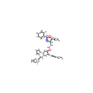 CC#Cc1cc(CC(C(=O)O)n2cccc2)ccc1OCCc1nc(-c2ccccc2)oc1C